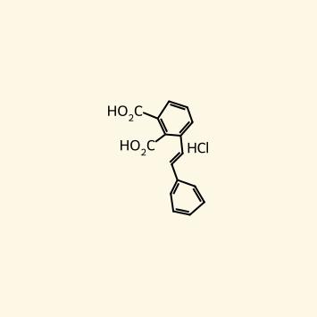 Cl.O=C(O)c1cccc(C=Cc2ccccc2)c1C(=O)O